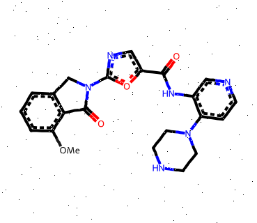 COc1cccc2c1C(=O)N(c1ncc(C(=O)Nc3cnccc3N3CCNCC3)o1)C2